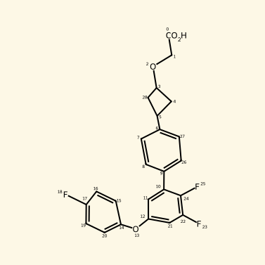 O=C(O)COC1CC(c2ccc(-c3cc(Oc4ccc(F)cc4)cc(F)c3F)cc2)C1